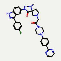 CN(C)C1(C(=O)Nc2ccc3[nH]nc(-c4ccc(F)cc4)c3c2)CCN(CC(=O)N2CCN(c3ccc(-c4ncccn4)cc3)CC2)C1